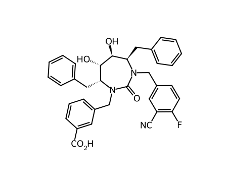 N#Cc1cc(CN2C(=O)N(Cc3cccc(C(=O)O)c3)[C@H](Cc3ccccc3)[C@H](O)[C@@H](O)[C@H]2Cc2ccccc2)ccc1F